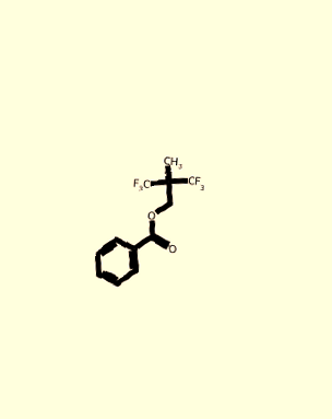 CC(COC(=O)c1ccccc1)(C(F)(F)F)C(F)(F)F